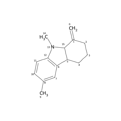 C=C1CCCC2c3cc(C)ccc3N(C)C12